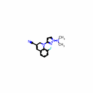 CN(C)n1ccc(N2CC(C#N)=Cc3cccc(F)c32)n1